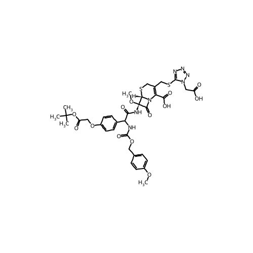 COc1ccc(COC(=O)NC(C(=O)N[C@]2(OC)C(=O)N3C(C(=O)O)=C(CSc4nnnn4CC(=O)O)CS[C@H]32)c2ccc(OCC(=O)OC(C)(C)C)cc2)cc1